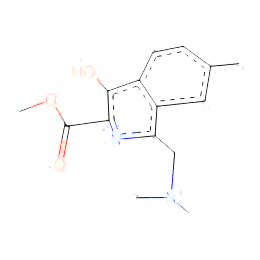 COC(=O)c1nc(CN(C)C)c2cc(C)ccc2c1O